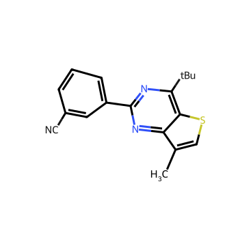 Cc1csc2c(C(C)(C)C)nc(-c3cccc(C#N)c3)nc12